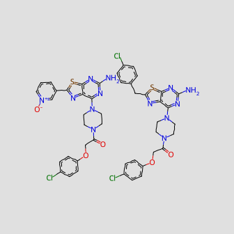 Nc1nc(N2CCN(C(=O)COc3ccc(Cl)cc3)CC2)c2nc(-c3ccc[n+]([O-])c3)sc2n1.Nc1nc(N2CCN(C(=O)COc3ccc(Cl)cc3)CC2)c2nc(Cc3ccc(Cl)cc3)sc2n1